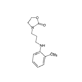 COc1ccccc1NCCCN1CCOC1=O